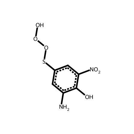 Nc1cc(SOOO)cc([N+](=O)[O-])c1O